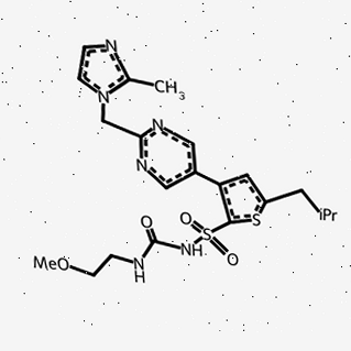 COCCNC(=O)NS(=O)(=O)c1sc(CC(C)C)cc1-c1cnc(Cn2ccnc2C)nc1